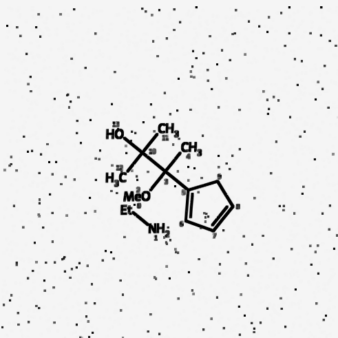 CCN.COC(C)(C1=CC=CC1)C(C)(C)O